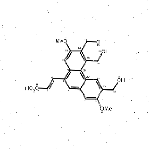 COc1cc2cc(/C=C/C(=O)O)c3cc(OC)c(CO)c(CO)c3c2cc1CO